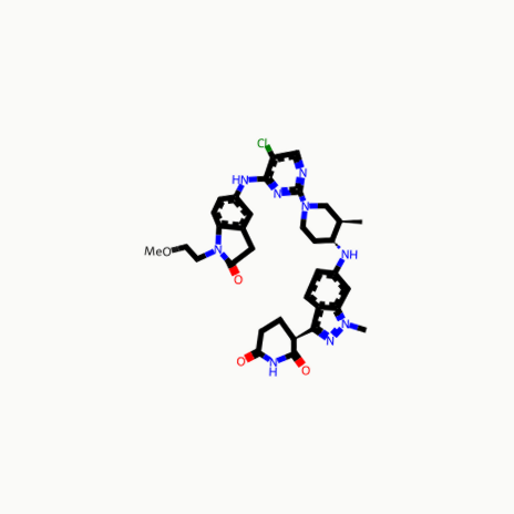 COCCN1C(=O)Cc2cc(Nc3nc(N4CC[C@@H](Nc5ccc6c([C@@H]7CCC(=O)NC7=O)nn(C)c6c5)[C@H](C)C4)ncc3Cl)ccc21